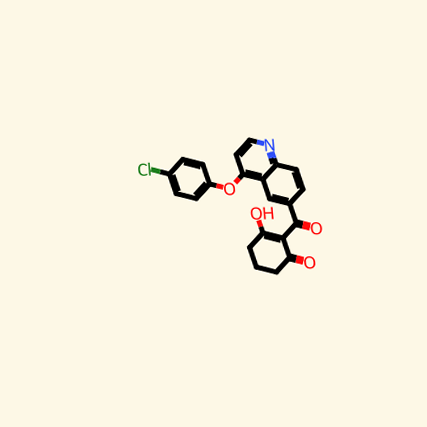 O=C1CCCC(O)=C1C(=O)c1ccc2nccc(Oc3ccc(Cl)cc3)c2c1